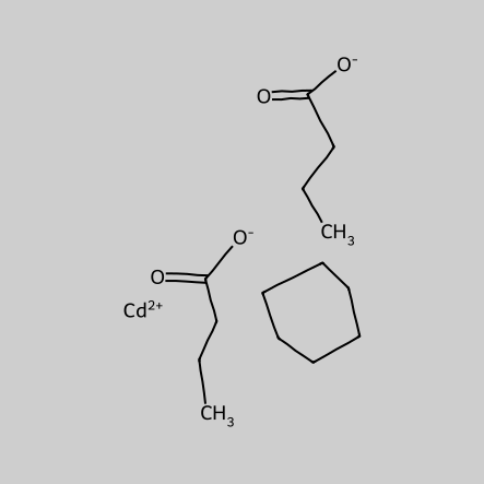 C1CCCCC1.CCCC(=O)[O-].CCCC(=O)[O-].[Cd+2]